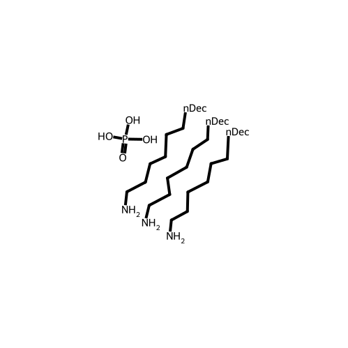 CCCCCCCCCCCCCCCCN.CCCCCCCCCCCCCCCCN.CCCCCCCCCCCCCCCCN.O=P(O)(O)O